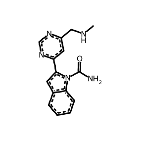 CNCc1cc(-c2cc3ccccc3n2C(N)=O)ncn1